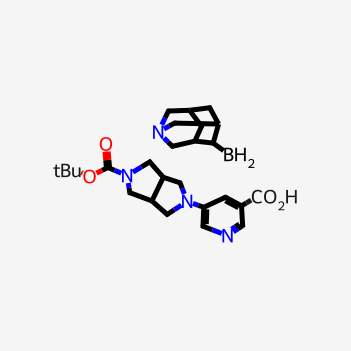 BC1C2CC3CC1CN(C3)C2.CC(C)(C)OC(=O)N1CC2CN(c3cncc(C(=O)O)c3)CC2C1